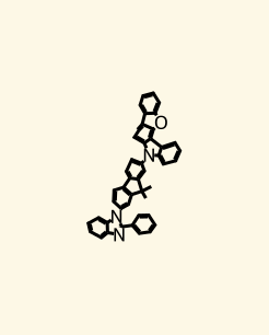 CC1(C)c2cc(-n3c(-c4ccccc4)nc4ccccc43)ccc2-c2ccc(-n3c4ccccc4c4c5oc6ccccc6c5ccc43)cc21